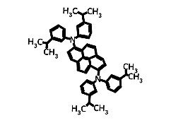 CC(C)c1cccc(N(c2cccc(C(C)C)c2)c2ccc3ccc4c(N(c5cccc(C(C)C)c5)c5cccc(C(C)C)c5)ccc5ccc2c3c54)c1